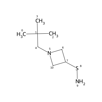 CC(C)(C)CN1CC(SN)C1